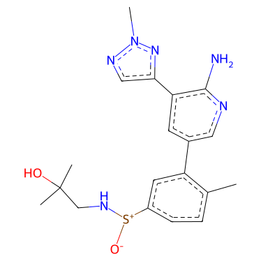 Cc1ccc([S+]([O-])NCC(C)(C)O)cc1-c1cnc(N)c(-c2cnn(C)n2)c1